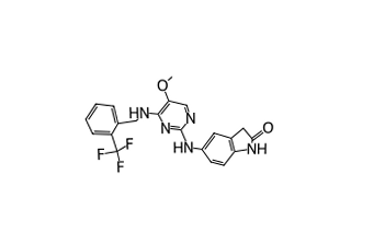 COc1cnc(Nc2ccc3c(c2)CC(=O)N3)nc1NCc1ccccc1C(F)(F)F